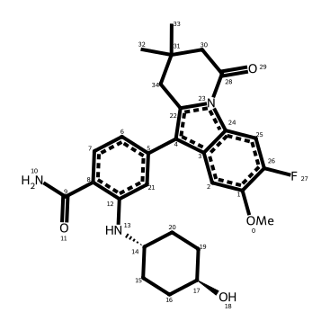 COc1cc2c(-c3ccc(C(N)=O)c(N[C@H]4CC[C@H](O)CC4)c3)c3n(c2cc1F)C(=O)CC(C)(C)C3